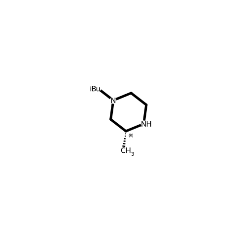 CCC(C)N1CCN[C@H](C)C1